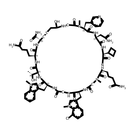 C[C@@H](O)[C@@H]1NC(=O)[C@H](Cc2cn(C)c3ccccc23)NC(=O)CNC(=O)[C@H](Cc2cn(C)c3c(Cl)cccc23)NC(=O)CN(C)C(=O)[C@H](CCCC(N)=O)NC(=O)[C@H](C2CCC2)NC(=O)[C@H](CC(N)=O)NC(=O)[C@H](Cc2cccnc2)N(C)C(=O)CNC(O)CSC[C@@H](C(N)=O)NC(=O)[C@H](CCCC(N)=O)NC1=O